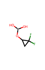 OB(O)OC1CC1(F)F